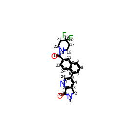 CN1Cc2cc(-c3cccc4cc(C(=O)N5CCC(F)(F)CC5)ccc34)cnc2C1=O